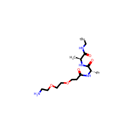 CC(C)[C@H](NC(=O)CCOCCOCCN)C(=O)N[C@@H](C)C(=O)NCC(C)(C)C